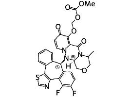 COC(=O)OCOc1c2n(ccc1=O)N([C@@H]1c3ccccc3-c3scnc3-c3c1ccc(F)c3F)[C@@H]1COCC(C)N1C2=O